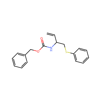 C=CC(CSc1ccccc1)NC(=O)OCc1ccccc1